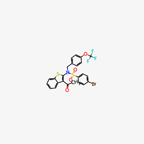 CC(=O)c1c(N(Cc2ccc(OC(F)(F)F)cc2)S(=O)(=O)c2ccc(Br)cc2)sc2ccccc12